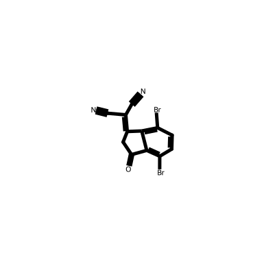 N#CC(C#N)=C1CC(=O)c2c(Br)ccc(Br)c21